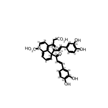 O=C(O)CC(=O)C1=C2C(=CC=CC2(C(=O)C=Cc2ccc(O)c(O)c2)C(=O)C=Cc2ccc(O)c(O)c2)N(C(=O)O)C=C1